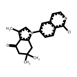 Cc1cn(-c2ccc3c(Cl)nccc3c2)c2c1C(=O)CC(C)(C)C2